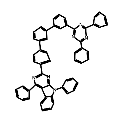 c1ccc(-c2nc(-c3ccccc3)nc(-c3cccc(-c4cccc(-c5ccc(-c6nc(-c7ccccc7)c7c8ccccc8n(-c8ccccc8)c7n6)cc5)c4)c3)n2)cc1